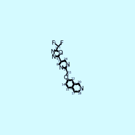 FC(F)c1nnc(-c2cnc(COc3ccc4ccncc4c3)nc2)o1